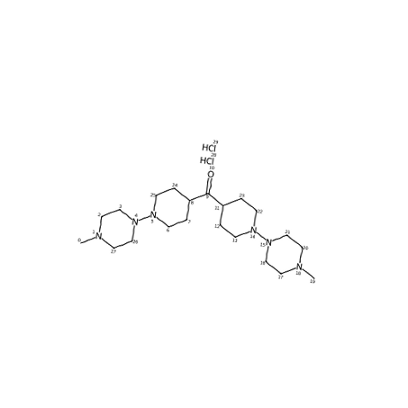 CN1CCN(N2CCC(C(=O)C3CCN(N4CCN(C)CC4)CC3)CC2)CC1.Cl.Cl